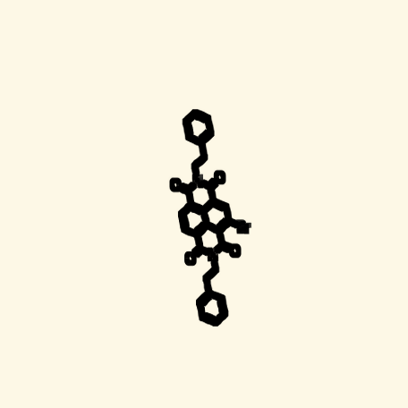 O=C1c2ccc3c4c(c(Br)cc(c24)C(=O)N1CCc1ccccc1)C(=O)N(CCc1ccccc1)C3=O